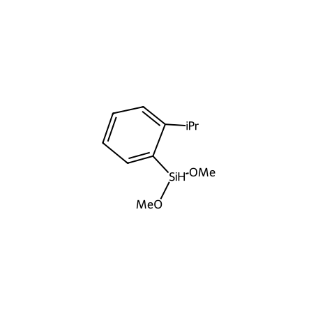 CO[SiH](OC)c1ccccc1C(C)C